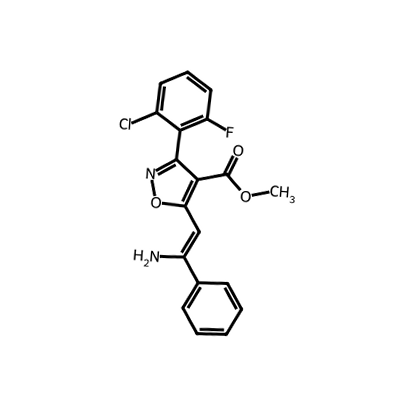 COC(=O)c1c(-c2c(F)cccc2Cl)noc1C=C(N)c1ccccc1